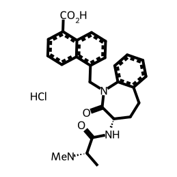 CN[C@@H](C)C(=O)N[C@H]1CCc2ccccc2N(Cc2cccc3c(C(=O)O)cccc23)C1=O.Cl